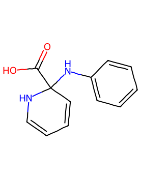 O=C(O)C1(Nc2ccccc2)C=CC=CN1